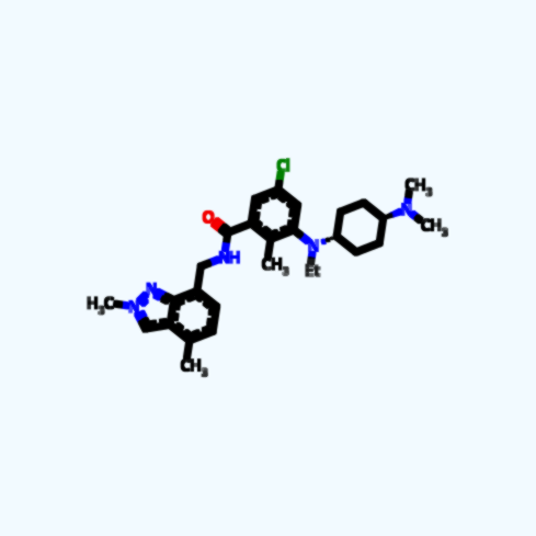 CCN(c1cc(Cl)cc(C(=O)NCc2ccc(C)c3cn(C)nc23)c1C)[C@H]1CC[C@H](N(C)C)CC1